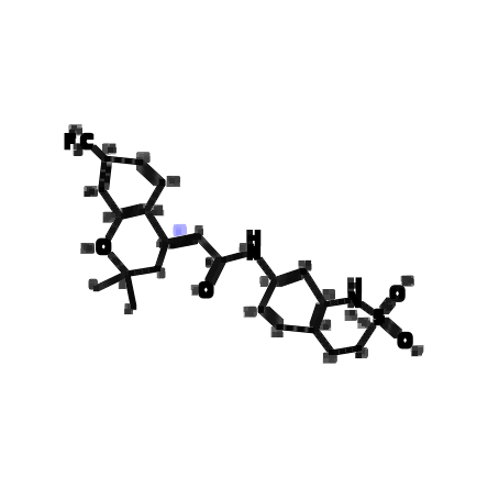 CC1(C)C/C(=C\C(=O)Nc2ccc3c(c2)NS(=O)(=O)CC3)c2ccc(C(F)(F)F)cc2O1